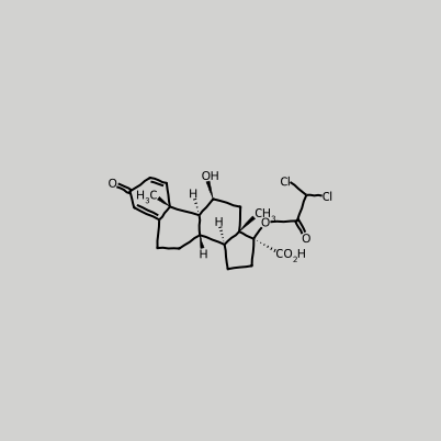 C[C@]12C=CC(=O)C=C1CC[C@@H]1[C@@H]2[C@@H](O)C[C@@]2(C)[C@H]1CC[C@@]2(OC(=O)C(Cl)Cl)C(=O)O